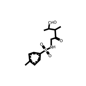 Cc1ccc(S(=O)(=O)NCC(=O)C(C)C(C)C=O)cc1